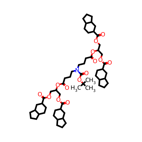 CC(C)(C)OC(=O)N(CCCC(=O)OC(COC(=O)C1CCC2CCCC2C1)COC(=O)C1CCC2CCCC2C1)CCCC(=O)OC(COC(=O)C1CCC2CCCC2C1)COC(=O)C1CCC2CCCC2C1